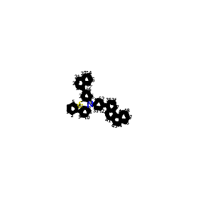 C1=CCC2C(=C1)Sc1c2cccc1N(c1ccc(-c2cccc3ccccc23)cc1)c1ccc(-c2cccc3c2ccc2ccc4ccccc4c23)cc1